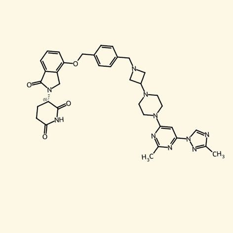 Cc1nc(N2CCN(C3CN(Cc4ccc(COc5cccc6c5CN([C@H]5CCC(=O)NC5=O)C6=O)cc4)C3)CC2)cc(-n2cnc(C)n2)n1